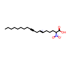 CCCCCCCCC#CC/C=C/CCCC(C(=O)O)[N+](=O)[O-]